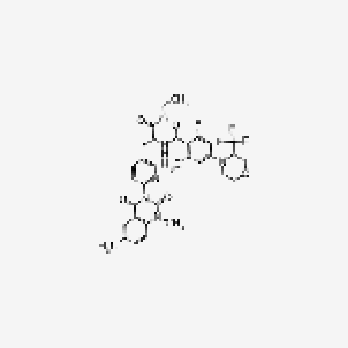 CCOC(=O)[C@H](Cc1ccc(-n2c(=O)c3cc(C)ccc3n(C)c2=O)nc1)NC(=O)c1c(C)cc(N2CCOC[C@@H]2C(F)(F)F)cc1F